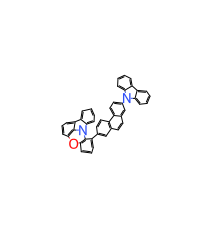 c1cc2c(c(-c3ccc4c(ccc5cc(-n6c7ccccc7c7ccccc76)ccc54)c3)c1)-n1c3ccccc3c3cccc(c31)O2